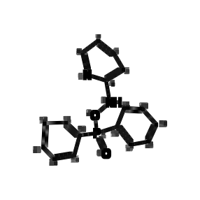 O=P(ONc1ccccn1)(c1ccccc1)c1ccccc1